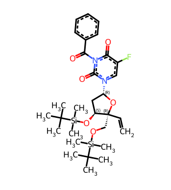 C=C[C@]1(CO[Si](C)(C)C(C)(C)C)O[C@@H](n2cc(F)c(=O)n(C(=O)c3ccccc3)c2=O)C[C@@H]1O[Si](C)(C)C(C)(C)C